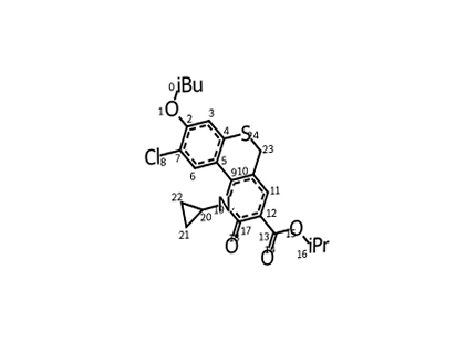 CCC(C)Oc1cc2c(cc1Cl)-c1c(cc(C(=O)OC(C)C)c(=O)n1C1CC1)CS2